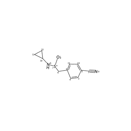 N#Cc1ccc(C[S+]([O-])NC2CC2)cc1